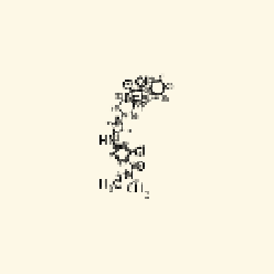 CCN(CC)C(=O)c1ccc(NC2CN(C3CCN(C(=O)[C@](O)(c4ccccc4)C(F)(F)F)CC3)C2)cc1Cl